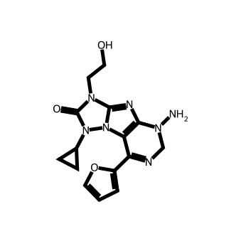 NN1CN=C(c2ccco2)c2c1nc1n(CCO)c(=O)n(C3CC3)n21